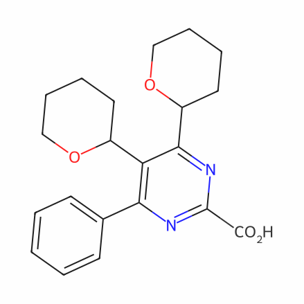 O=C(O)c1nc(-c2ccccc2)c(C2CCCCO2)c(C2CCCCO2)n1